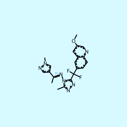 COc1cnc2ccc(C(F)(F)c3nnc(C)n3/N=C(\C)c3cnn(C)c3)cc2c1